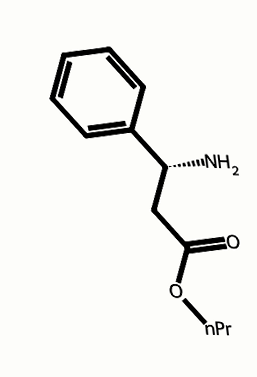 CCCOC(=O)C[C@@H](N)c1ccccc1